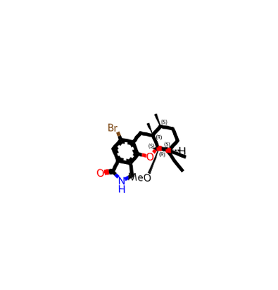 CO[C@@H]1CC(C)(C)[C@@H]2CC[C@H](C)[C@@]3(C)Cc4c(Br)cc5c(c4O[C@@]23C1)CNC5=O